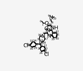 CCOC(=O)[C@H](CCN(C)C)Nc1nc(CN2CCN(C(c3ccc(Cl)cc3)c3ccc(Cl)cc3)CC2)nc2ccccc12